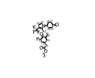 CCOC(=O)Cc1cc(F)c(OCc2c(C(F)(F)F)ccn2-c2ccc(Cl)cc2)c(F)c1